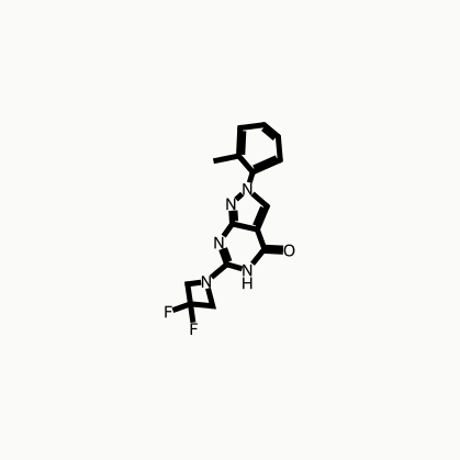 Cc1ccccc1-n1cc2c(=O)[nH]c(N3CC(F)(F)C3)nc2n1